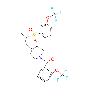 CC(CC1CCN(C(=O)c2ccccc2OC(F)(F)F)CC1)S(=O)(=O)c1cccc(OC(F)(F)F)c1